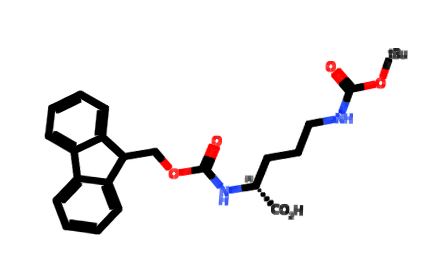 CC(C)(C)OC(=O)NCCC[C@@H](NC(=O)OCC1c2ccccc2-c2ccccc21)C(=O)O